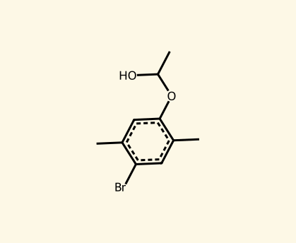 Cc1cc(OC(C)O)c(C)cc1Br